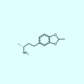 CC1Oc2ccc(CC[C@@H](C)N)cc2O1